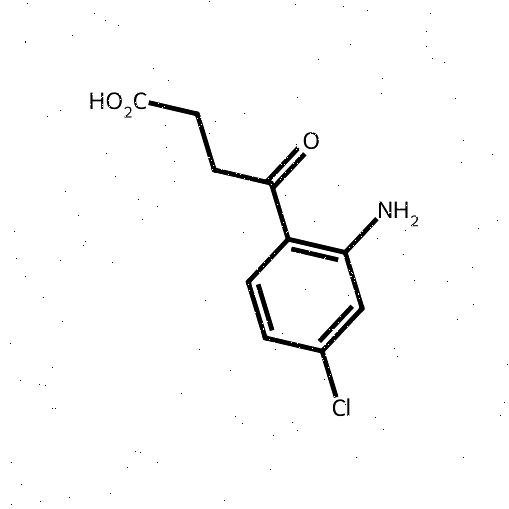 Nc1cc(Cl)ccc1C(=O)CCC(=O)O